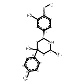 CCOc1ccc([C@@H]2CC(O)(c3ccc(C(F)(F)F)cc3)C[C@H](C)N2)cc1O